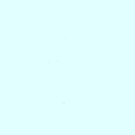 COc1ccc(Cn2nnc(C(=O)O)c2-c2cc(Cl)c(Cl)cn2)cc1